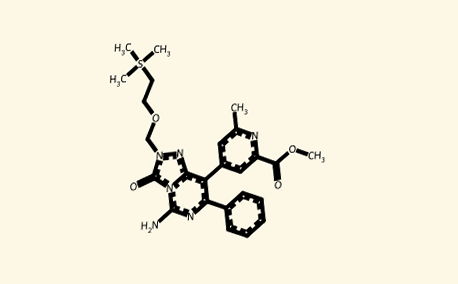 COC(=O)c1cc(-c2c(-c3ccccc3)nc(N)n3c(=O)n(COCCS(C)(C)C)nc23)cc(C)n1